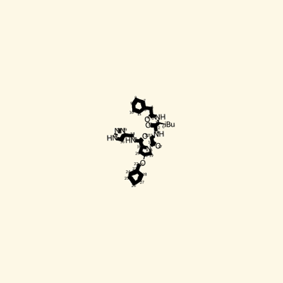 CC[C@H](C)[C@H](NC(=O)Cc1ccccc1)C(=O)NCC(=O)N1C[C@H](OCc2ccccc2)CC1C(=O)NCc1c[nH]nn1